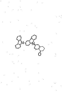 O=C1CCCc2cc(-n3c4ccccc4c4cc(-n5c6ccccc6c6ccccc65)ccc43)ccc21